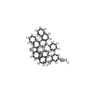 Bc1ccc(-c2nc(N3c4c(c5ccccc5c5oc6ccccc6c45)-c4c(ccc5ccccc45)P3c3ccccc3)nc3ccccc23)c(B)c1